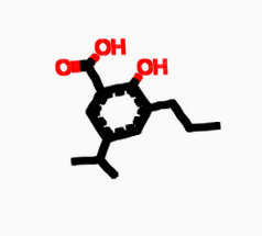 CCCc1cc(C(C)C)cc(C(=O)O)c1O